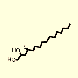 CCCCCCCCCCCCC(=S)CC(O)CO